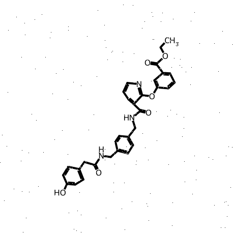 CCOC(=O)c1cccc(Oc2ncccc2C(=O)NCc2ccc(CNC(=O)Cc3ccc(O)cc3)cc2)c1